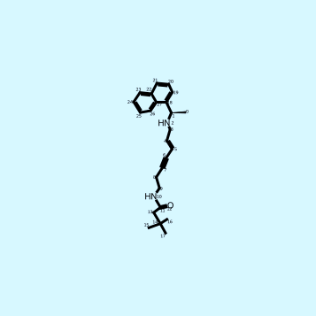 C[C@@H](NC/C=C/C#CCCNC(=O)CC(C)(C)C)c1cccc2ccccc12